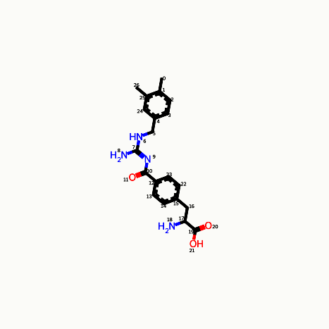 Cc1ccc(CNC(N)=NC(=O)c2ccc(CC(N)C(=O)O)cc2)cc1C